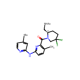 CC(=O)NC[C@H]1CCC(F)(F)CN1C(=O)c1nc(Nc2cc(C(C)(C)C)ccn2)ccc1C